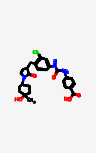 CC1(O)CCC(N2CCC(Cc3ccc(NC(=O)Nc4ccc(C(=O)O)cc4)cc3Cl)C2=O)CC1